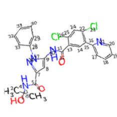 CC(C)(O)NC(=O)c1cc(NC(=O)c2cc(-c3ccccn3)c(Cl)cc2Cl)n(-c2ccccc2)n1